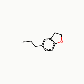 CC(C)CCc1ccc2c(c1)CCO2